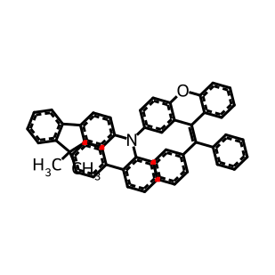 CC1(C)c2ccccc2-c2ccc(N(c3ccc4c(c3)C(=C(c3ccccc3)c3ccccc3)c3ccccc3O4)c3ccccc3-c3ccccc3)cc21